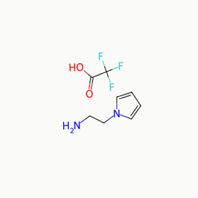 NCCn1cccc1.O=C(O)C(F)(F)F